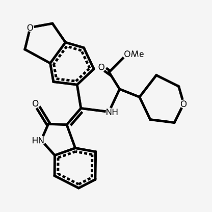 COC(=O)C(NC(=C1C(=O)Nc2ccccc21)c1ccc2c(c1)COC2)C1CCOCC1